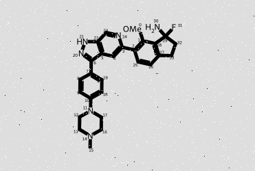 COc1c(-c2cc3c(-c4ccc(N5CCN(C)CC5)cc4)n[nH]c3cn2)ccc2c1C(N)(F)CC2